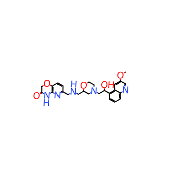 COc1cnc2cccc(C(O)CN3CCOC(CNCc4ccc5c(n4)NC(=O)CO5)C3)c2c1